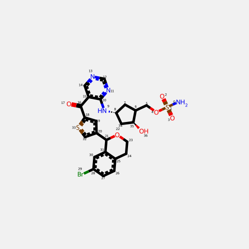 NS(=O)(=O)OCC1C[C@@H](Nc2ncncc2C(=O)c2cc(C3OCCc4ccc(Br)cc43)cs2)C[C@@H]1O